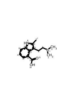 CN(C)CCc1c(I)[nH]c2cccc(C(=O)O)c12